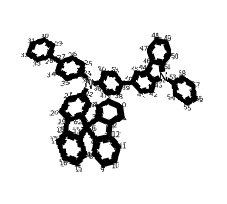 C1=C=C2C(=CC=1)C1(c3ccccc32)c2ccccc2-c2ccc(N(c3ccc(-c4ccccc4)cc3)c3ccc(-c4ccc5c(c4)c4ccccc4n5-c4ccccc4)cc3)cc21